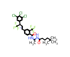 C[C@H](NC(=O)CCCC(C)(C)C)NC(=O)c1ccc(/C=C/C(c2cc(Cl)c(Cl)c(Cl)c2)C(F)(F)F)cc1C(F)(F)F